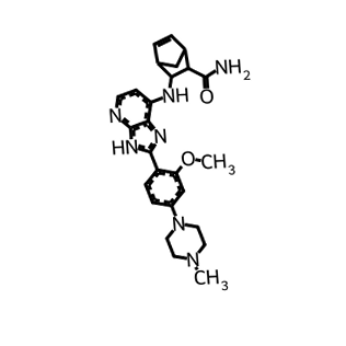 COc1cc(N2CCN(C)CC2)ccc1-c1nc2c(NC3C4C=CC(C4)C3C(N)=O)ccnc2[nH]1